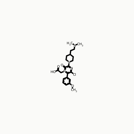 COc1cccc(-c2c(Cl)nc(N3CCC(CCN(C)C)CC3)c(=O)n2CC(=O)O)c1